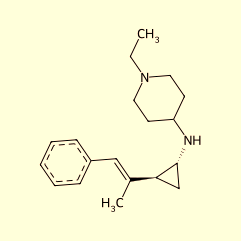 CCN1CCC(N[C@@H]2C[C@H]2C(C)=Cc2ccccc2)CC1